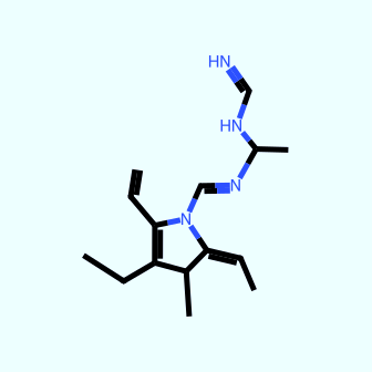 C=CC1=C(CC)C(C)/C(=C\C)N1/C=N/C(C)NC=N